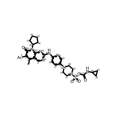 CC(=O)c1c(C)c2cnc(Nc3ccc(N4CCN(S(=O)(=O)OC(=O)NC5CC5)CC4)cn3)nc2n(C2CCCC2)c1=O